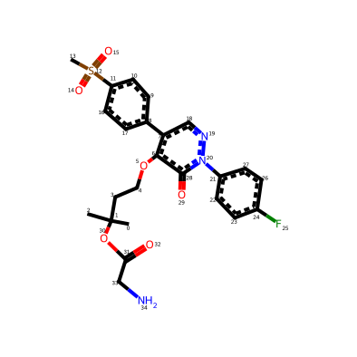 CC(C)(CCOc1c(-c2ccc(S(C)(=O)=O)cc2)cnn(-c2ccc(F)cc2)c1=O)OC(=O)CN